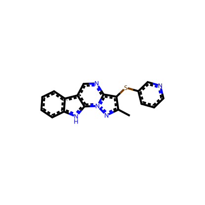 Cc1nn2c(ncc3c4ccccc4[nH]c32)c1Sc1cccnc1